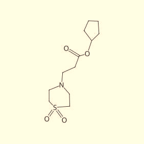 O=C(CCN1CCS(=O)(=O)CC1)OC1CCCC1